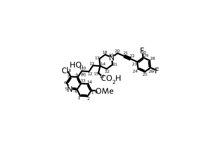 COc1ccc2ncc(Cl)c([C@H](O)CCC3(CC(=O)O)CCN(CC#Cc4ccc(F)cc4F)CC3)c2c1